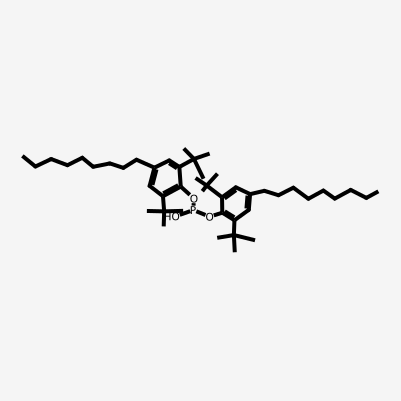 CCCCCCCCCc1cc(C(C)(C)C)c(OP(O)Oc2c(C(C)(C)C)cc(CCCCCCCCC)cc2C(C)(C)C)c(C(C)(C)C)c1